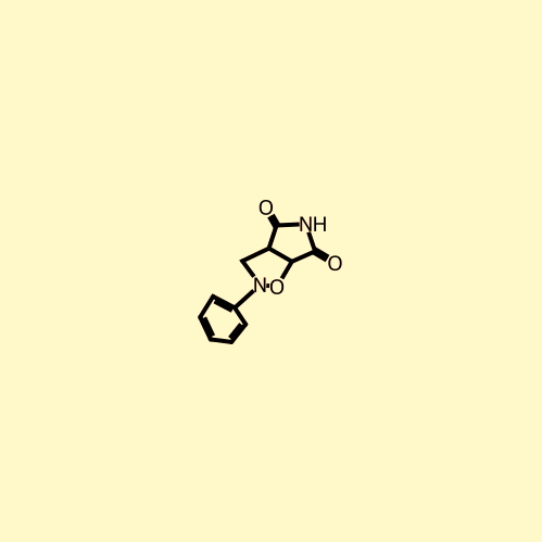 O=C1NC(=O)C2ON(c3ccccc3)CC12